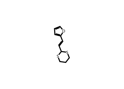 C(=CC1SCCCS1)c1ccco1